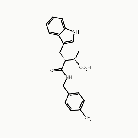 CN(C(=O)O)[C@@H](Cc1c[nH]c2ccccc12)C(=O)NCc1ccc(C(F)(F)F)cc1